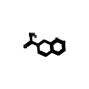 NC(=O)N1C=Cc2ccnnc2C1